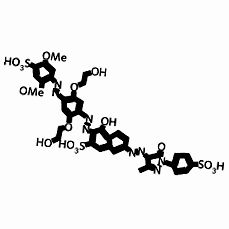 COc1cc(S(=O)(=O)O)c(OC)cc1/N=N/c1cc(OCCO)c(/N=N/c2c(S(=O)(=O)O)cc3cc(/N=N/C4C(=O)N(c5ccc(S(=O)(=O)O)cc5)N=C4C)ccc3c2O)cc1OCCO